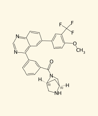 COc1ccc(-c2ccc3ncnc(-c4cccc(C(=O)N5C[C@@H]6C[C@H]5CN6)c4)c3c2)cc1C(F)(F)F